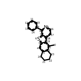 Cc1c2c(cc3sc4c(-c5ccccc5)nccc4c13)CCCC2